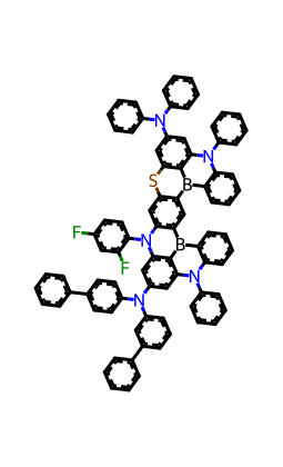 Fc1ccc(N2c3cc4c(cc3B3c5ccccc5N(c5ccccc5)c5cc(N(c6ccc(-c7ccccc7)cc6)c6cccc(-c7ccccc7)c6)cc2c53)B2c3ccccc3N(c3ccccc3)c3cc(N(c5ccccc5)c5ccccc5)cc(c32)S4)c(F)c1